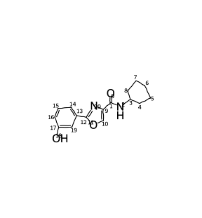 O=C(NC1CCCCC1)c1coc(-c2cccc(O)c2)n1